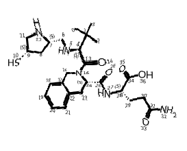 CC(C)(C)[C@H](NC[C@@H]1C[C@H](S)CN1)C(=O)N1Cc2ccccc2C[C@H]1C(=O)N[C@@H](CCC(N)=O)C(=O)O